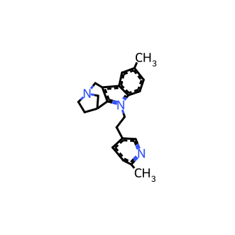 Cc1ccc2c(c1)c1c(n2CCc2ccc(C)nc2)C2CCN(C1)C2